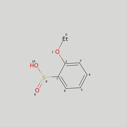 CCOc1ccccc1S(=O)O